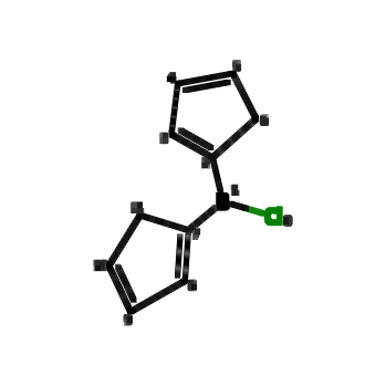 ClB(C1=CC=CC1)C1=CC=CC1